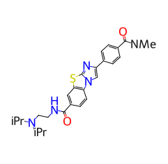 CNC(=O)c1ccc(-c2cn3c(n2)sc2cc(C(=O)NCCN(C(C)C)C(C)C)ccc23)cc1